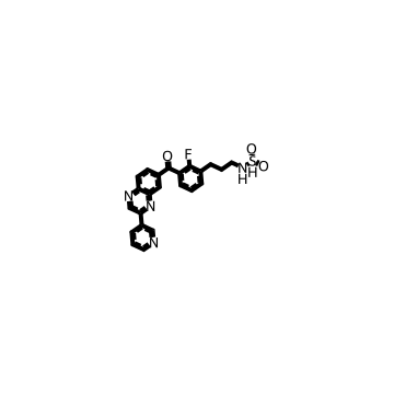 O=C(c1ccc2ncc(-c3cccnc3)nc2c1)c1cccc(CCCN[SH](=O)=O)c1F